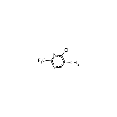 Cc1cnc(C(F)(F)F)nc1Cl